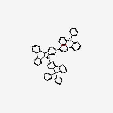 c1ccc(N(c2ccccc2)c2ccccc2-c2ccc(-c3ccc4c5c6ccccc6c6ccccc6c5n(-c5ccc6c(c5)-c5ccccc5C6(c5ccccc5)c5ccccc5)c4c3)cc2)cc1